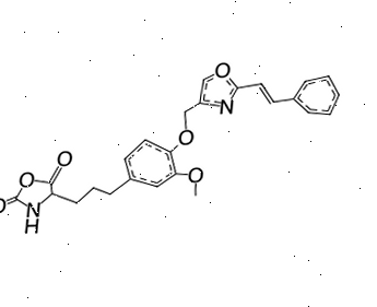 COc1cc(CCCC2NC(=O)OC2=O)ccc1OCc1coc(C=Cc2ccccc2)n1